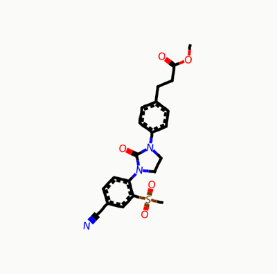 COC(=O)CCc1ccc(N2CCN(c3ccc(C#N)cc3S(C)(=O)=O)C2=O)cc1